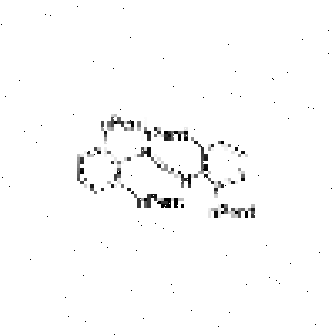 CCCCCc1cccc(CCCCC)c1N=C=Nc1c(CCCCC)cccc1CCCCC